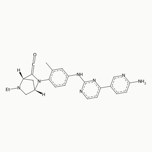 CCN1C[C@@H]2C[C@H]1C(=C=O)N2c1ccc(Nc2nccc(-c3ccc(N)nc3)n2)cc1C